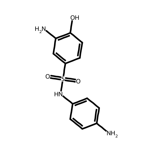 Nc1ccc(NS(=O)(=O)c2ccc(O)c(N)c2)cc1